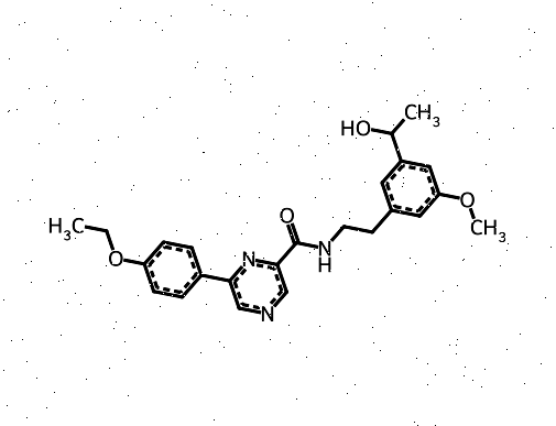 CCOc1ccc(-c2cncc(C(=O)NCCc3cc(OC)cc(C(C)O)c3)n2)cc1